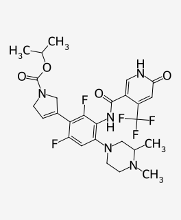 CC(C)OC(=O)N1CC=C(c2c(F)cc(N3CCN(C)C(C)C3)c(NC(=O)c3c[nH]c(=O)cc3C(F)(F)F)c2F)C1